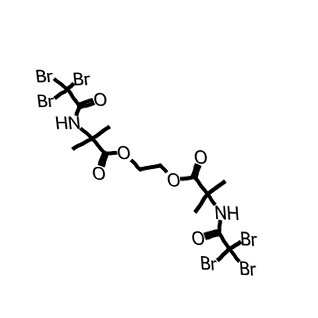 CC(C)(NC(=O)C(Br)(Br)Br)C(=O)OCCOC(=O)C(C)(C)NC(=O)C(Br)(Br)Br